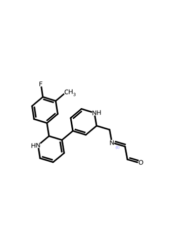 Cc1cc(C2NC=CC=C2C2=CC(C/N=C/C=O)NC=C2)ccc1F